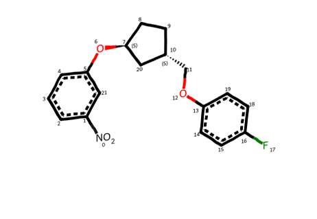 O=[N+]([O-])c1cccc(O[C@H]2CC[C@H](COc3ccc(F)cc3)C2)c1